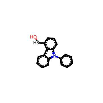 OBc1cccc2c1c1ccccc1n2-c1ccccc1